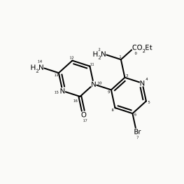 CCOC(=O)C(N)c1ncc(Br)cc1-n1ccc(N)nc1=O